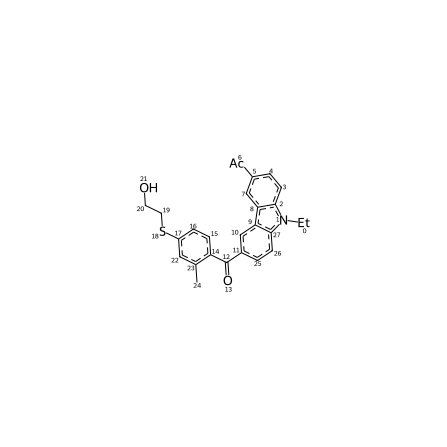 CCn1c2ccc(C(C)=O)cc2c2cc(C(=O)c3ccc(SCCO)cc3C)ccc21